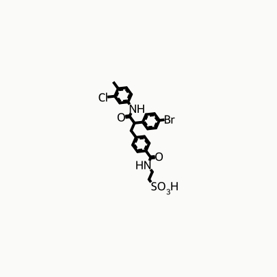 Cc1ccc(NC(=O)C(Cc2ccc(C(=O)NCCS(=O)(=O)O)cc2)c2ccc(Br)cc2)cc1Cl